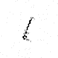 CCCCCCCCOC(=O)OC1C[CH]N(C)C1